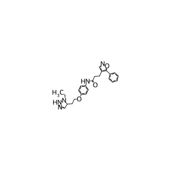 CCN1NN=CC1CCOc1ccc(NC(=O)CCc2cnoc2-c2ccccc2)cc1